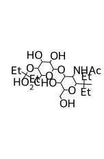 CCC(C)(CC)OC1C(C(=O)O)OC(OC2C(O)C(CO)OC(C(C)(CC)CC)C2NC(C)=O)C(O)C1O